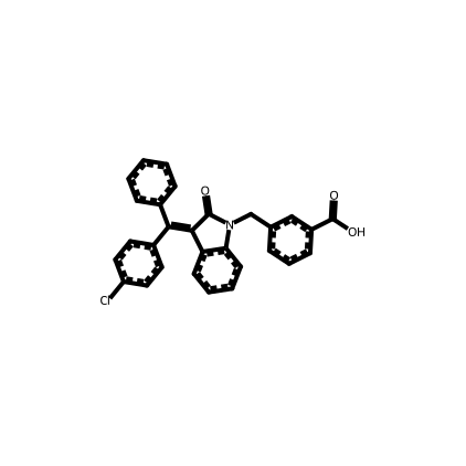 O=C(O)c1cccc(CN2C(=O)C(=C(c3ccccc3)c3ccc(Cl)cc3)c3ccccc32)c1